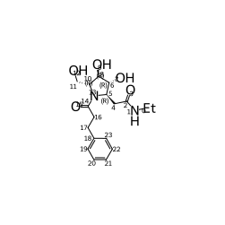 CCNC(=O)C[C@@H]1[C@@H](O)[C@H](O)[C@@H](CO)N1C(=O)CCc1ccccc1